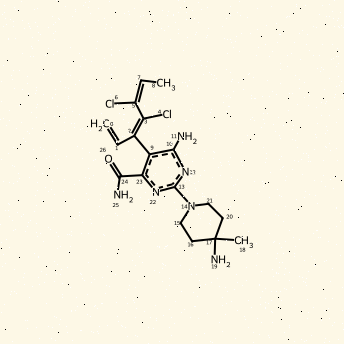 C=C/C(=C(Cl)\C(Cl)=C/C)c1c(N)nc(N2CCC(C)(N)CC2)nc1C(N)=O